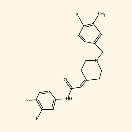 Cc1cc(CN2CCC(=CC(=O)Nc3ccc(F)c(F)c3)CC2)ccc1F